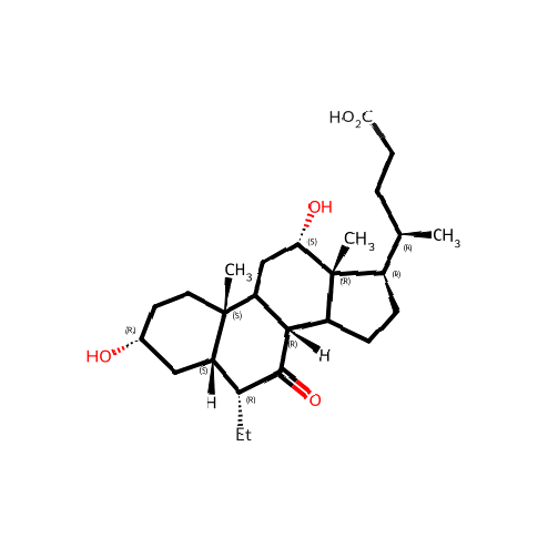 CC[C@H]1C(=O)[C@H]2C3CC[C@H]([C@H](C)CCC(=O)O)[C@@]3(C)[C@@H](O)CC2[C@@]2(C)CC[C@@H](O)C[C@@H]12